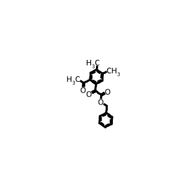 CC(=O)c1cc(C)c(C)cc1C(=O)C(=O)OCc1ccccc1